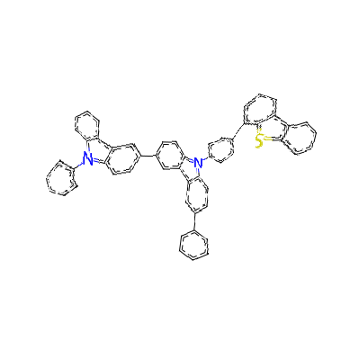 c1ccc(-c2ccc3c(c2)c2cc(-c4ccc5c(c4)c4ccccc4n5-c4ccccc4)ccc2n3-c2ccc(-c3cccc4c3sc3ccccc34)cc2)cc1